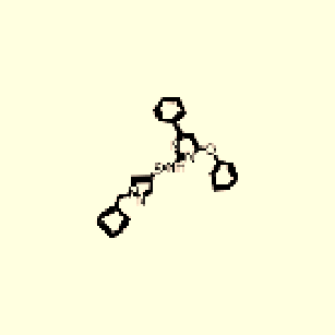 c1ccc(Cn2cc(SNc3nc(Oc4ccccc4)cc(-c4ccccc4)n3)cn2)cc1